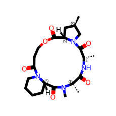 C[C@@H]1C[C@H]2C(=O)OCCC(=O)N3CCCC[C@H]3C(=O)N(C)[C@@H](C)C(=O)N[C@@H](C)C(=O)N2C1